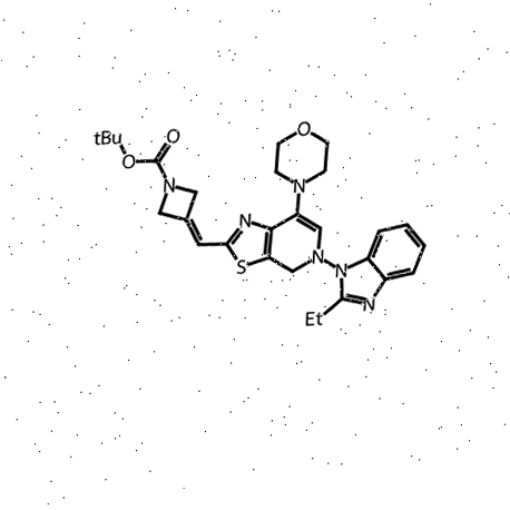 CCc1nc2ccccc2n1N1C=C(N2CCOCC2)c2nc(C=C3CN(C(=O)OC(C)(C)C)C3)sc2C1